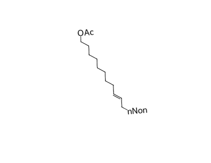 CCCCCCCCCCC=CCCCCCCCCOC(C)=O